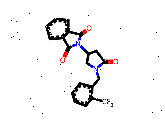 O=C1CC(N2C(=O)c3ccccc3C2=O)CN1Cc1ccccc1C(F)(F)F